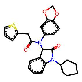 O=C1C(N(C(=O)Cc2cccs2)c2ccc3c(c2)OCO3)c2ccccc2N1C1CCCCC1